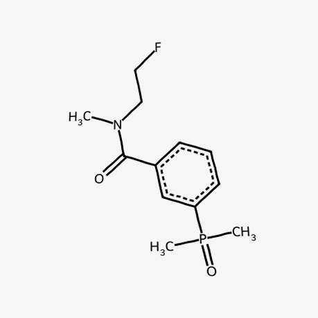 CN(CCF)C(=O)c1cccc(P(C)(C)=O)c1